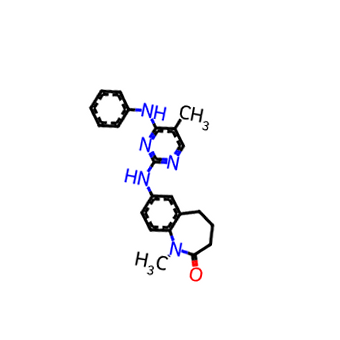 Cc1cnc(Nc2ccc3c(c2)CCCC(=O)N3C)nc1Nc1ccccc1